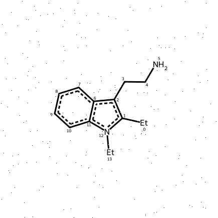 CCc1c(CCN)c2ccccc2n1CC